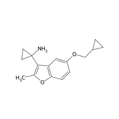 Cc1oc2ccc(OCC3CC3)cc2c1C1(N)CC1